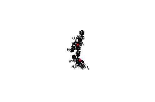 CC(C)Oc1ccccc1[C@@H]1CN([C@@H]2COC(C)(C)c3nc(S(C)(=O)=O)c4c(c32)C(C)(C)CCO4)CCN1C1CC2(CCN(c3ccc(C(=O)NS(=O)(=O)c4cc5c(c([N+](=O)[O-])c4)N[C@H](C4CCOCC4)CO5)c(N4c5cc6cc[nH]c6nc5O[C@H]5COCC[C@@H]54)c3)CC2)C1